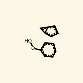 OOc1ccccc1.c1cc2cc-2c1